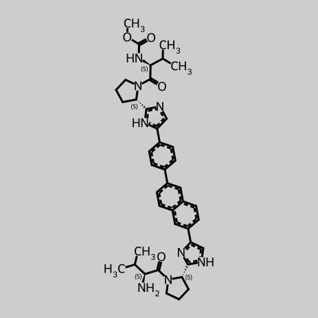 COC(=O)N[C@H](C(=O)N1CCC[C@H]1c1ncc(-c2ccc(-c3ccc4cc(-c5c[nH]c([C@@H]6CCCN6C(=O)[C@@H](N)C(C)C)n5)ccc4c3)cc2)[nH]1)C(C)C